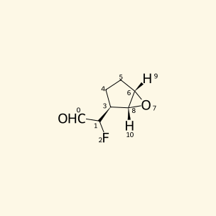 O=CC(F)[C@H]1CC[C@@H]2O[C@@H]21